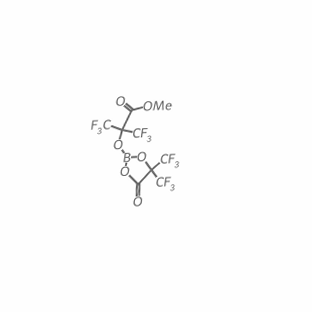 COC(=O)C(OB1OC(=O)C(C(F)(F)F)(C(F)(F)F)O1)(C(F)(F)F)C(F)(F)F